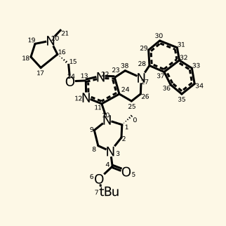 C[C@@H]1CN(C(=O)OC(C)(C)C)CCN1c1nc(OC[C@@H]2CCCN2C)nc2c1CCN(c1cccc3ccccc13)C2